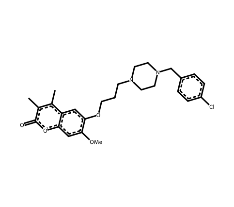 COc1cc2oc(=O)c(C)c(C)c2cc1OCCCN1CCN(Cc2ccc(Cl)cc2)CC1